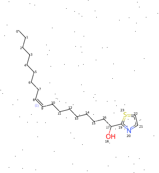 CCCCCCCC/C=C\CCCCCCCC(O)c1nccs1